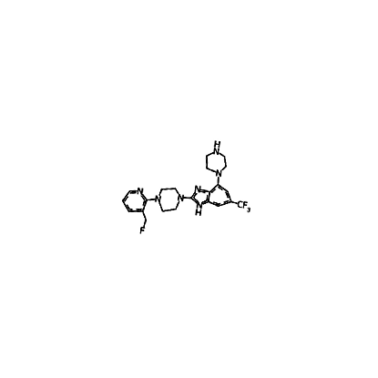 FCc1cccnc1N1CCN(c2nc3c(N4CCNCC4)cc(C(F)(F)F)cc3[nH]2)CC1